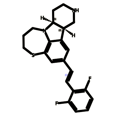 Fc1cccc(F)c1/C=C/c1cc2c3c(c1)[C@@H]1CNCC[C@@H]1N3CCCS2